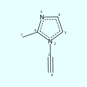 C#Cn1ccnc1C